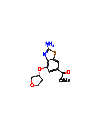 COC(=O)c1cc(O[C@@H]2CCOC2)c2nc(N)sc2c1